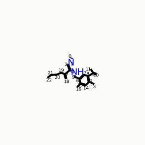 C=N/C=C(\NCc1cc(C(=C)C)c(C)cc1C)C(=C)CCCC